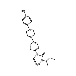 C=CN(C(=O)N(N)C(C)CC)c1ccc(N2CCN(c3ccc(O)cc3)CC2)cc1